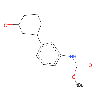 CC(C)(C)OC(=O)Nc1cccc(C2CCCC(=O)C2)c1